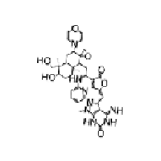 Cn1nc(/C=C2\C=C(C(CC3C4(CO4)C(N4CCOCC4)CC4[C@]3(C)CC[C@@H](O)[C@@]4(C)CO)Nc3ccccn3)C(=O)O2)c2c(=N)[nH]c(=O)[nH]c21